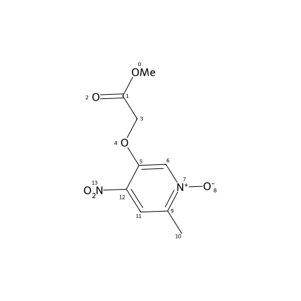 COC(=O)COc1c[n+]([O-])c(C)cc1[N+](=O)[O-]